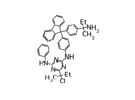 CCC(C)(N)c1ccc(C2(c3ccc(Nc4nc(Nc5ccccc5)nc(C(C)(Cl)CC)n4)cc3)c3ccccc3-c3ccccc32)cc1